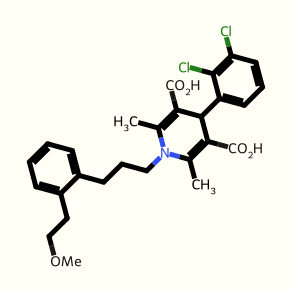 COCCc1ccccc1CCCN1C(C)=C(C(=O)O)C(c2cccc(Cl)c2Cl)C(C(=O)O)=C1C